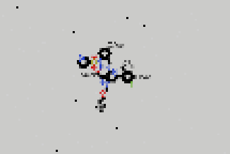 CNC(=O)c1nn(COCC[Si](C)(C)C)c2cc(-c3cc(F)c(OC)cc3CC(F)(F)F)nc(NCc3cc(OC)ccc3N(C)S(=O)(=O)c3cccnc3)c12